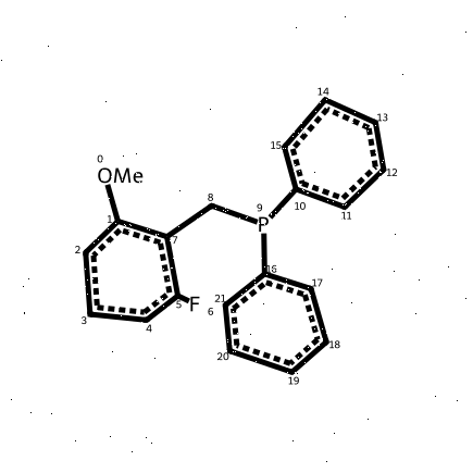 COc1cccc(F)c1CP(c1ccccc1)c1ccccc1